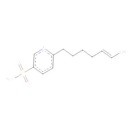 CC=CCCCCc1ccc(S(C)(=O)=O)cn1